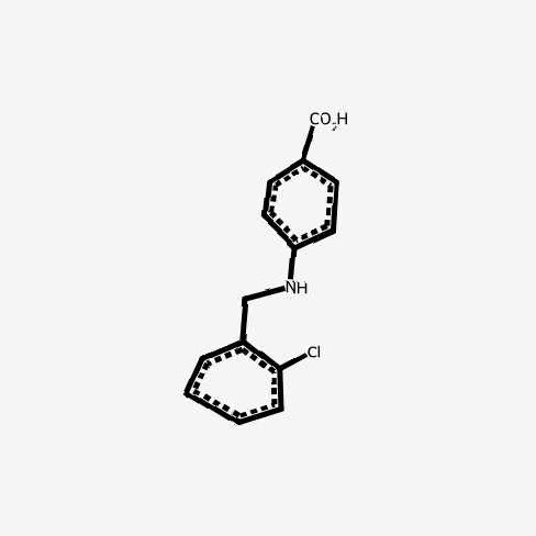 O=C(O)c1ccc(NCc2ccccc2Cl)cc1